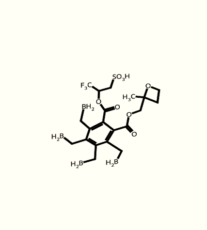 BCc1c(CB)c(CB)c(C(=O)OC(CS(=O)(=O)O)C(F)(F)F)c(C(=O)OCC2(C)CCO2)c1CB